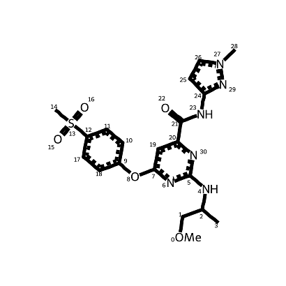 COCC(C)Nc1nc(Oc2ccc(S(C)(=O)=O)cc2)cc(C(=O)Nc2ccn(C)n2)n1